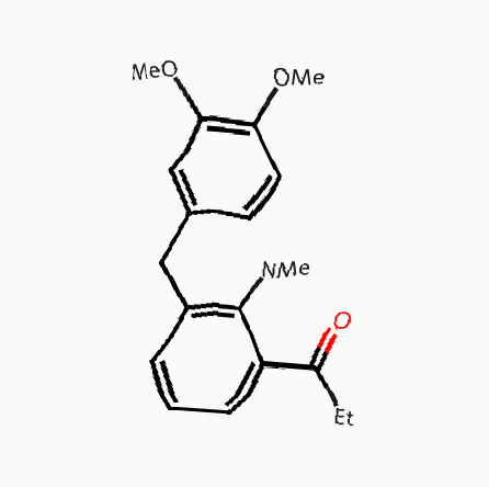 CCC(=O)c1cccc(Cc2ccc(OC)c(OC)c2)c1NC